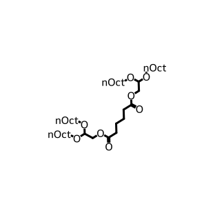 CCCCCCCCOC(COC(=O)CCCCC(=O)OCC(OCCCCCCCC)OCCCCCCCC)OCCCCCCCC